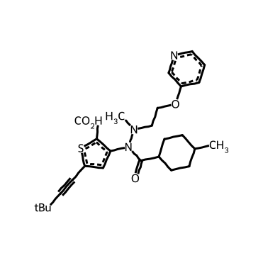 CC1CCC(C(=O)N(c2cc(C#CC(C)(C)C)sc2C(=O)O)N(C)CCOc2cccnc2)CC1